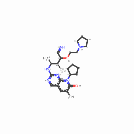 C[C@H](Nc1ncc2cc(C#N)c(=O)n(C3CCCC3)c2n1)[C@H](C)C(C=N)OCCN1CCCC1